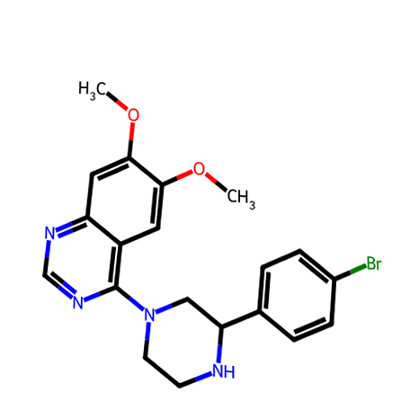 COc1cc2ncnc(N3CCNC(c4ccc(Br)cc4)C3)c2cc1OC